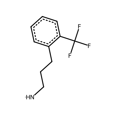 [NH]CCCc1ccccc1C(F)(F)F